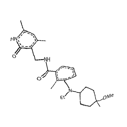 CCN(c1cccc(C(=O)NCc2c(C)cc(C)[nH]c2=O)c1C)C1CCC(C)(OC)CC1